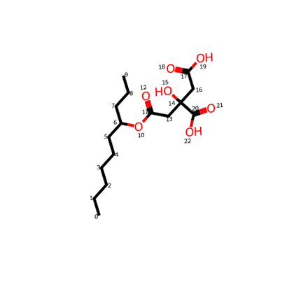 CCCCCCC(CCC)OC(=O)CC(O)(CC(=O)O)C(=O)O